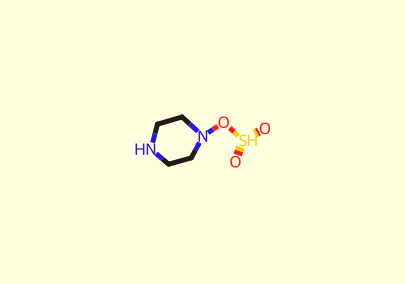 O=[SH](=O)ON1CCNCC1